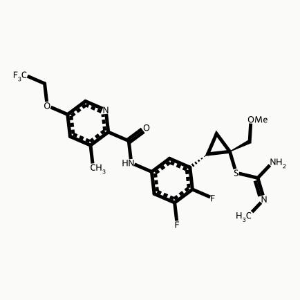 C/N=C(/N)S[C@@]1(COC)C[C@H]1c1cc(NC(=O)c2ncc(OCC(F)(F)F)cc2C)cc(F)c1F